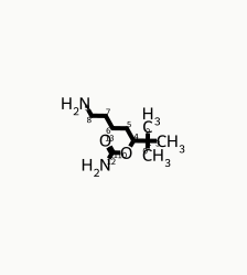 CC(C)(C)C(CCCCN)OC(N)=O